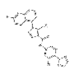 N#Cc1cc(NC(=O)c2cnn(-c3cccc4nc(F)ccc34)c2C(F)(F)F)cnc1-n1nccn1